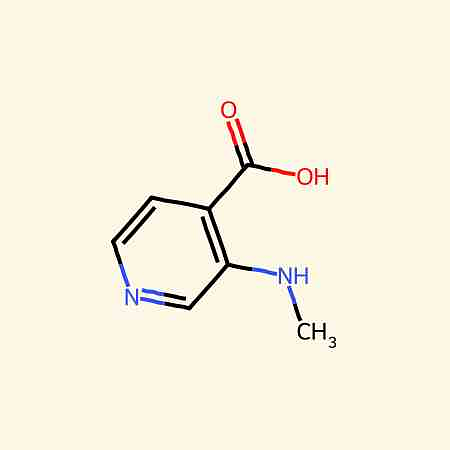 CNc1cnccc1C(=O)O